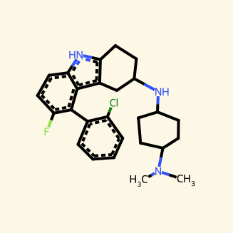 CN(C)C1CCC(NC2CCc3[nH]c4ccc(F)c(-c5ccccc5Cl)c4c3C2)CC1